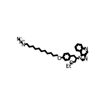 CCOCC(Cc1ccc(OCCCCCCCCCCCN=[N+]=[N-])cc1)n1cnc2cnc3ccccc3c21